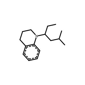 CCC(CC(C)C)N1CCCc2ccccc21